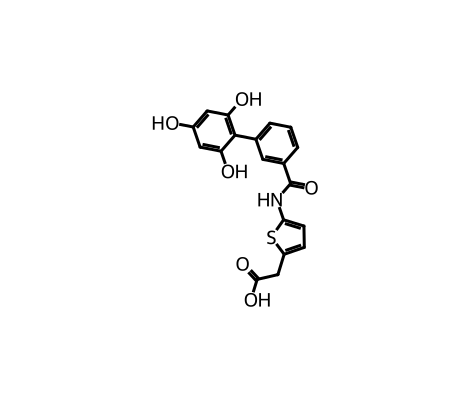 O=C(O)Cc1ccc(NC(=O)c2cccc(-c3c(O)cc(O)cc3O)c2)s1